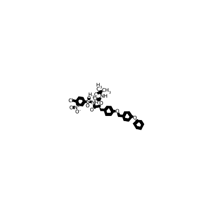 CC(C)(C)NC(=O)O[C@@H](Cc1ccc(OCc2ccc(Oc3ccccc3)cc2)cc1)C(=O)NS(=O)(=O)c1ccc(Cl)c([N+](=O)[O-])c1